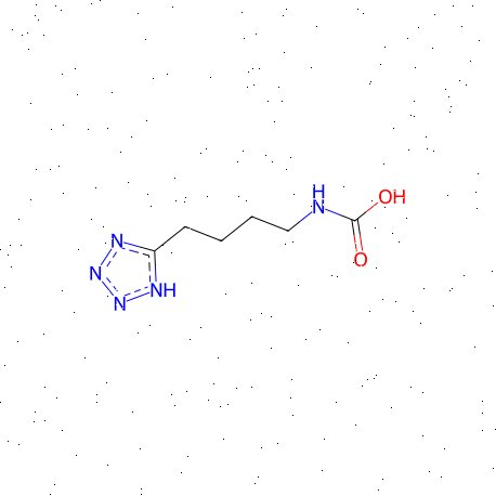 O=C(O)NCCCCc1nnn[nH]1